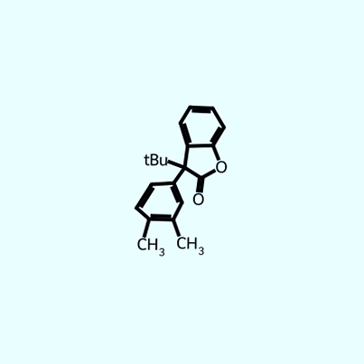 Cc1ccc(C2(C(C)(C)C)C(=O)Oc3ccccc32)cc1C